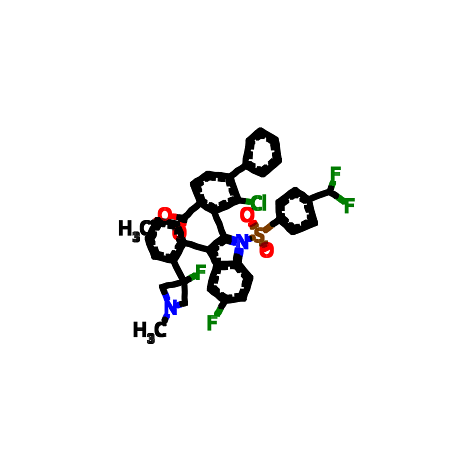 COC(=O)c1ccc(-c2ccccc2)c(Cl)c1-c1c(-c2ccccc2C2(F)CN(C)C2)c2cc(F)ccc2n1S(=O)(=O)c1ccc(C(F)F)cc1